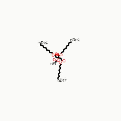 CCCCCCCCCCCCCCCCCCOC(=O)CC(CC(=O)OCCCCCCCCCCCCCCCCCC)(OC(=O)CCC)C(=O)OCCCCCCCCCCCCCCCCCC